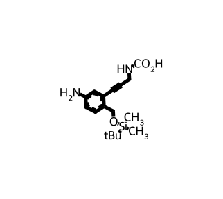 CC(C)(C)[Si](C)(C)OCc1ccc(N)cc1C#CCNC(=O)O